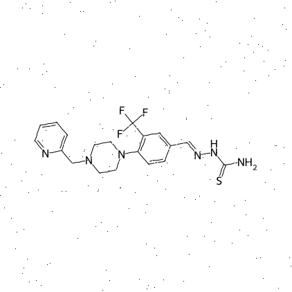 NC(=S)NN=Cc1ccc(N2CCN(Cc3ccccn3)CC2)c(C(F)(F)F)c1